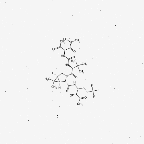 C=C(C)[C@H](NC(=O)N[C@H](C(=O)N1C[C@H]2[C@@H]([C@H]1C(=O)NC(CCC(F)(F)F)C(=O)C(N)=O)C2(C)C)C(C)(C)C)C(=O)N(C)C